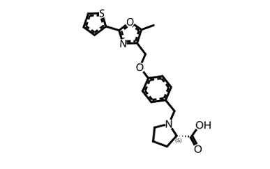 Cc1oc(-c2cccs2)nc1COc1ccc(CN2CCC[C@H]2C(=O)O)cc1